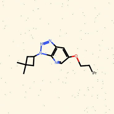 CC(C)CCOc1cnc2c(c1)nnn2C1CC(C)(C)C1